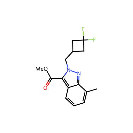 COC(=O)c1c2cccc(C)c2nn1CC1CC(F)(F)C1